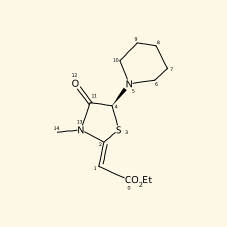 CCOC(=O)/C=C1\S[C@H](N2CCCCC2)C(=O)N1C